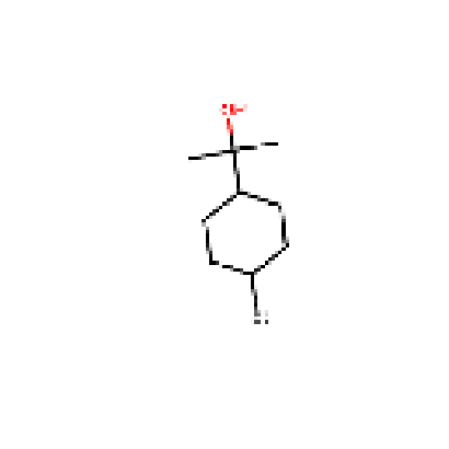 CCC1CCC(C(C)(C)O)CC1